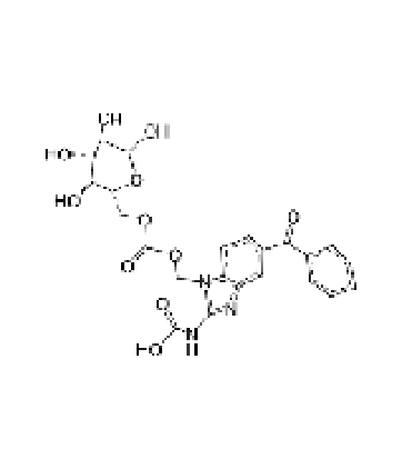 O=C(O)Nc1nc2cc(C(=O)c3ccccc3)ccc2n1COC(=O)OC[C@H]1OC(O)[C@H](O)[C@@H](O)[C@@H]1O